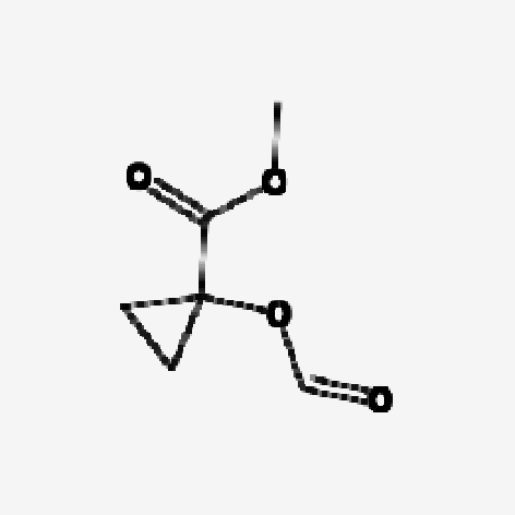 COC(=O)C1(OC=O)CC1